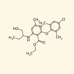 CCOC(=O)c1c(NC(CC)CO)cc(C)nc1Oc1c(C)cc(Cl)cc1C